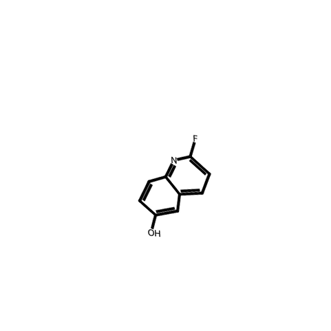 Oc1ccc2nc(F)ccc2c1